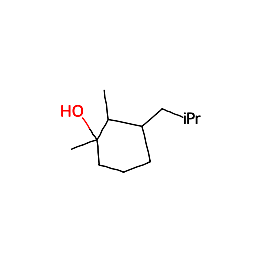 CC(C)CC1CCCC(C)(O)C1C